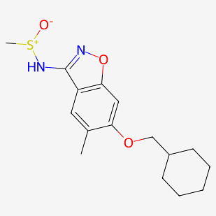 Cc1cc2c(N[S+](C)[O-])noc2cc1OCC1CCCCC1